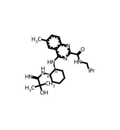 Cc1ccc2nc(C(=O)NCC(C)C)nc(N[C@H]3CCCC[C@H]3NC(=N)C(C)(C)O)c2c1